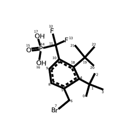 CC(C)(C)c1c(CBr)ccc(C(F)(F)P(=O)(O)O)c1C(C)(C)C